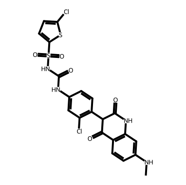 CNc1ccc2c(c1)NC(=O)C(c1ccc(NC(=O)NS(=O)(=O)c3ccc(Cl)s3)cc1Cl)C2=O